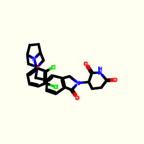 O=C1CCC(N2Cc3cc(CN4CC5CCC(C4)N5c4cccc(Cl)c4Cl)ccc3C2=O)C(=O)N1